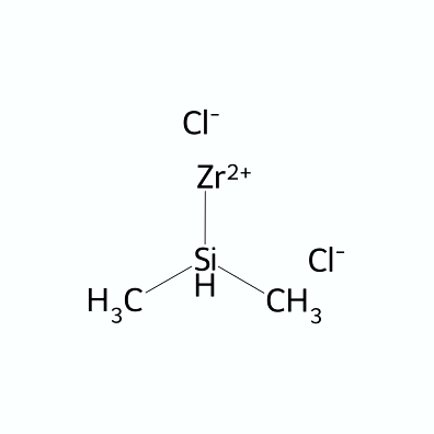 C[SiH](C)[Zr+2].[Cl-].[Cl-]